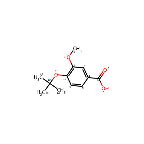 COc1cc(C(=O)O)ccc1OC(C)(C)C